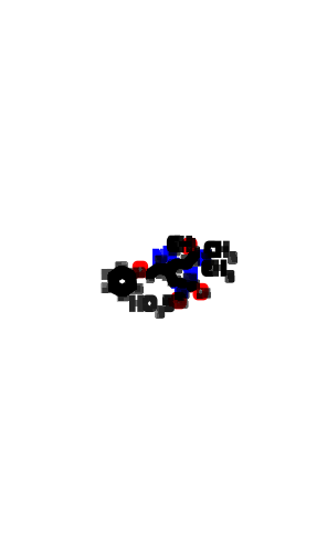 CN(C)C(=O)C1c2c(c(COc3ccccc3)nn2C)C2CN1C(=O)N2OS(=O)(=O)O